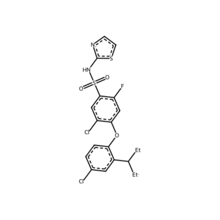 C[CH]C(CC)c1cc(Cl)ccc1Oc1cc(F)c(S(=O)(=O)Nc2nccs2)cc1Cl